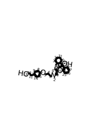 C[N+](C)(CCCOc1ccc(CCO)cc1)Cc1cnc([C@](O)(c2ccccc2)C2CCCCC2)o1